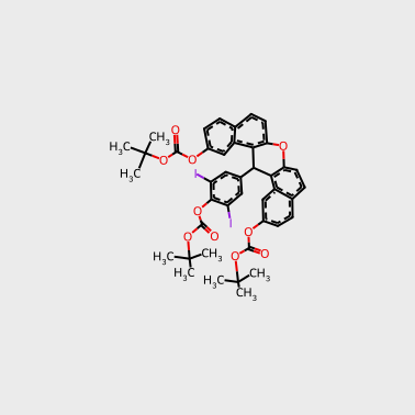 CC(C)(C)OC(=O)Oc1ccc2ccc3c(c2c1)C(c1cc(I)c(OC(=O)OC(C)(C)C)c(I)c1)c1c(ccc2ccc(OC(=O)OC(C)(C)C)cc12)O3